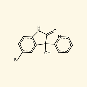 O=C1Nc2ccc(Br)cc2C1(O)c1ccccn1